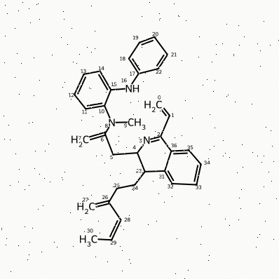 C=CC1=NC(CC(=C)N(C)c2ccccc2Nc2ccccc2)C(CCC(=C)/C=C\C)c2ccccc21